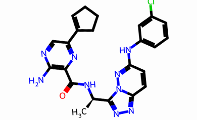 C[C@@H](NC(=O)c1nc(C2=CCCC2)cnc1N)c1nnc2ccc(Nc3cccc(Cl)c3)nn12